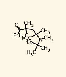 CCC(C)(C)N(C)C(C)(C)CC(C)(C)C(=O)C(C)C